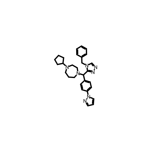 c1ccc(Cn2cnnc2C(c2ccc(-n3cccn3)cc2)N2CCCN(C3CCCC3)CC2)cc1